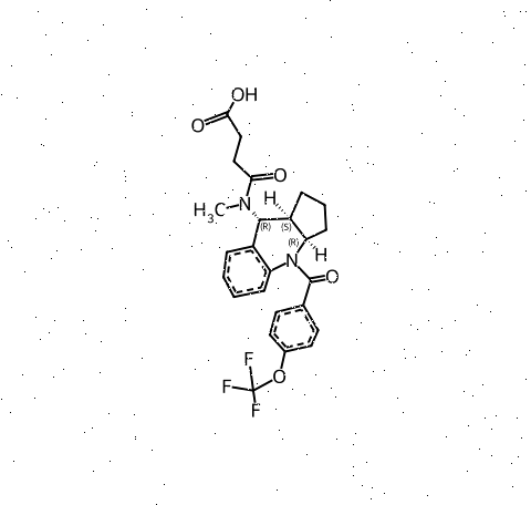 CN(C(=O)CCC(=O)O)[C@H]1c2ccccc2N(C(=O)c2ccc(OC(F)(F)F)cc2)[C@@H]2CCC[C@@H]21